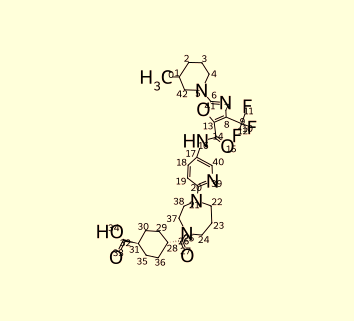 CC1CCCN(c2nc(C(F)(F)F)c(C(=O)Nc3ccc(N4CCCN(C(=O)[C@H]5CC[C@H](C(=O)O)CC5)CC4)nc3)o2)C1